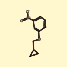 O=[N+]([O-])c1cc[c]c(OCC2CC2)c1